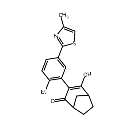 CCc1ccc(-c2nc(C)cs2)cc1C1=C(O)C2CCC(C2)C1=O